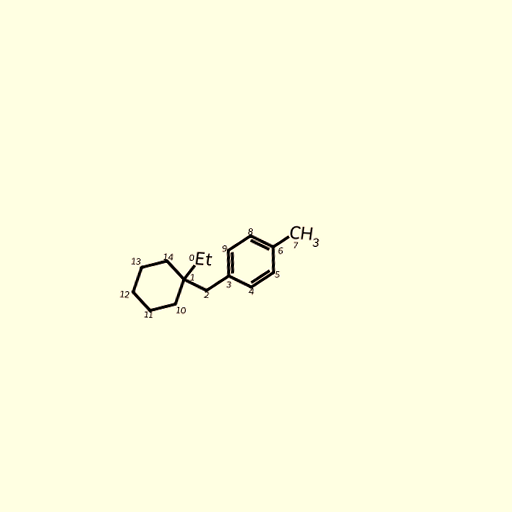 CCC1(Cc2ccc(C)cc2)CCCCC1